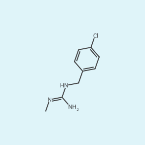 C/N=C(\N)NCc1ccc(Cl)cc1